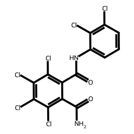 NC(=O)c1c(Cl)c(Cl)c(Cl)c(Cl)c1C(=O)Nc1cccc(Cl)c1Cl